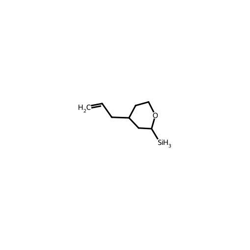 C=CCC1CCOC([SiH3])C1